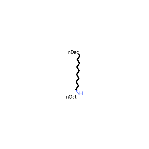 CCCCCCCCCCCCCCCCCCCCNCCCCCCCC